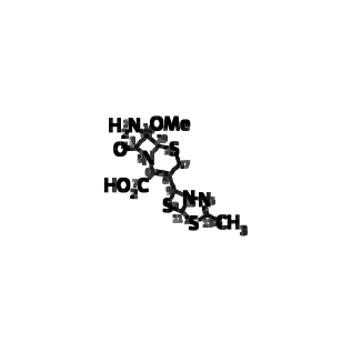 CO[C@@]1(N)C(=O)N2C(C(=O)O)=C(C3SC4SC(C)=NN43)CSC21